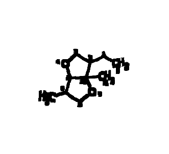 CCC1COC2C(C)COC12C